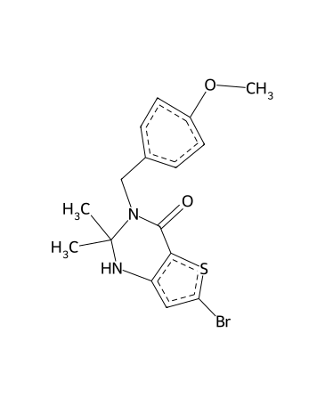 COc1ccc(CN2C(=O)c3sc(Br)cc3NC2(C)C)cc1